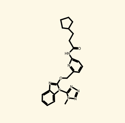 Cn1nnnc1-n1c(OCc2cccc(NC(=O)CCC3CCCC3)n2)nc2ccccc21